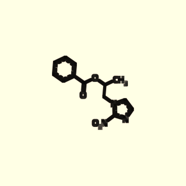 CC(Cn1ccnc1[N+](=O)[O-])OC(=O)c1ccccc1